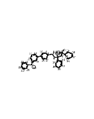 CC(O)(CC(O)(CCc1ccc(-c2cccc(C(=O)c3ccccc3)c2)cc1)c1ccccc1)c1ccccc1